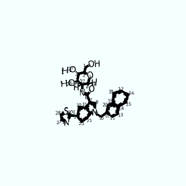 OCC1O[C@@H]2OC(c3cn(Cc4ccc5ccccc5c4)c4ccc(-c5nccs5)cc34)=N[C@@H]2[C@@H](O)[C@@H]1O